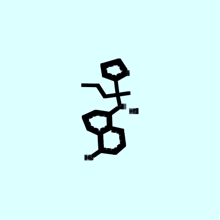 CCCC(C)(Nc1cccc2c(O)cccc12)c1cccs1.Cl